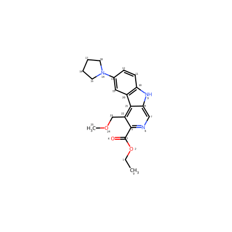 CCOC(=O)c1ncc2[nH]c3ccc(N4CCCC4)cc3c2c1COC